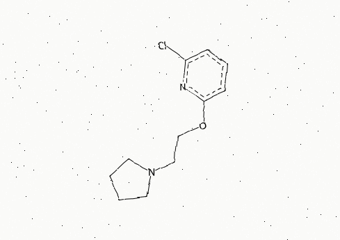 Clc1cccc(OCCN2CCCC2)n1